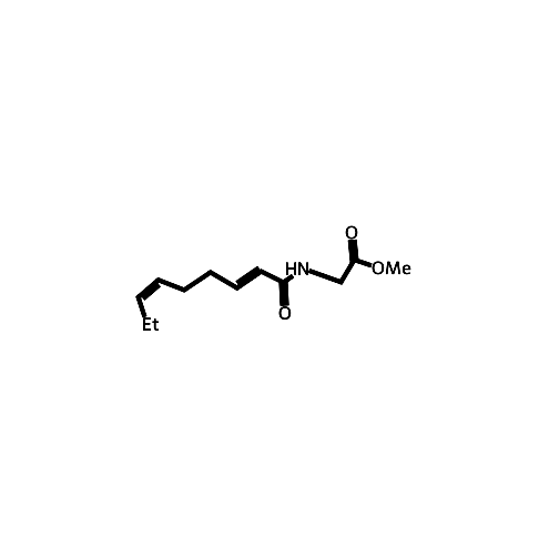 CC/C=C\CC/C=C/C(=O)NCC(=O)OC